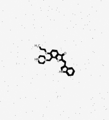 CCCOc1ccc2c(c1CN1CCNCC1)OC(=Cc1c[nH]c3ccccc13)C2=O